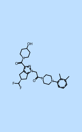 Cc1cccc(N2CCN(C(=O)Cn3nc(C(=O)N4CCC(O)CC4)c4c3C[C@@H](C(F)F)C4)CC2)c1C